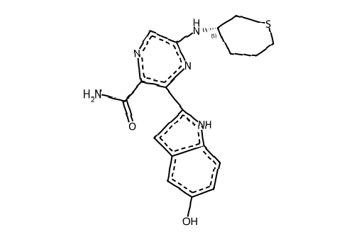 NC(=O)c1ncc(N[C@H]2CCCSC2)nc1-c1cc2cc(O)ccc2[nH]1